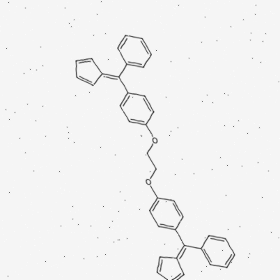 C1=CC(=C(c2ccccc2)c2ccc(OCCOc3ccc(C(=C4C=CC=C4)c4ccccc4)cc3)cc2)C=C1